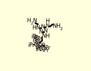 CC(C)O[Si](OC(C)C)(OC(C)C)C(CCNc1nc(NCCN)nc(NCCN)n1)[Si](OC(C)C)(OC(C)C)OC(C)C